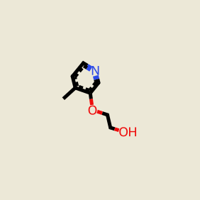 Cc1ccncc1OCCO